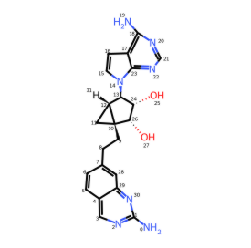 Nc1ncc2ccc(CC[C@@]34C[C@@H]3[C@@H](n3ccc5c(N)ncnc53)[C@H](O)[C@@H]4O)cc2n1